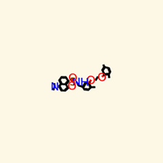 Cc1ccc(C)c(OCCOc2cc(CNS(=O)(=O)c3cccc4c(N(C)C)cccc34)ccc2C)c1